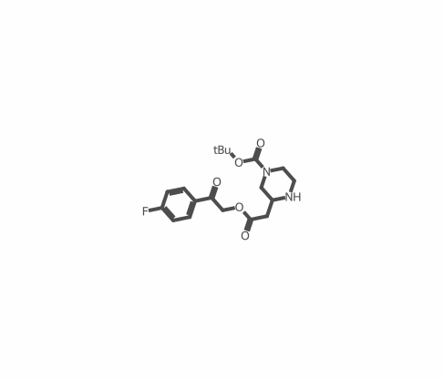 CC(C)(C)OC(=O)N1CCNC(CC(=O)OCC(=O)c2ccc(F)cc2)C1